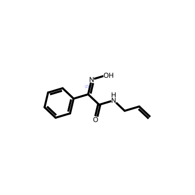 C=CCNC(=O)/C(=N\O)c1ccccc1